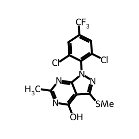 CSc1nn(-c2c(Cl)cc(C(F)(F)F)cc2Cl)c2nc(C)nc(O)c12